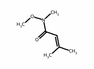 CON(C)C(=O)C=C(C)C